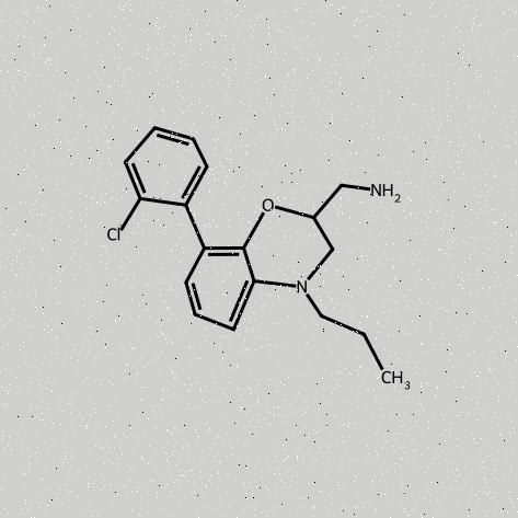 CCCN1CC(CN)Oc2c(-c3ccccc3Cl)cccc21